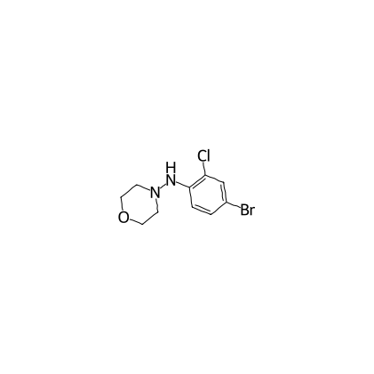 Clc1cc(Br)ccc1NN1CCOCC1